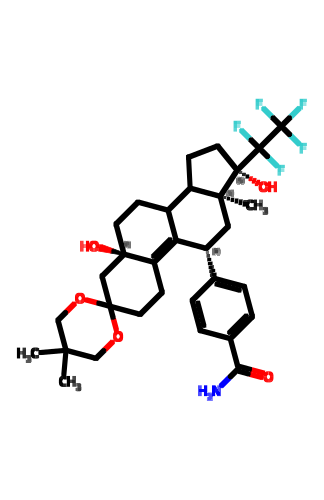 CC1(C)COC2(CCC3=C4C(CC[C@@]3(O)C2)C2CC[C@@](O)(C(F)(F)C(F)(F)F)[C@@]2(C)C[C@@H]4c2ccc(C(N)=O)cc2)OC1